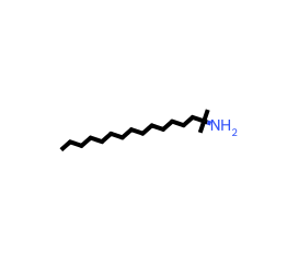 CCCCCCCCCCCCCCC(C)(C)N